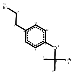 CCCC(C)(C)Oc1ccc(CCBr)cc1